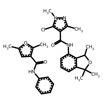 Cc1cc(C(=O)Nc2ccccc2)c(C)o1.Cc1nn(C)c(Cl)c1C(=O)Nc1cccc2c1C(C)OC2(C)C